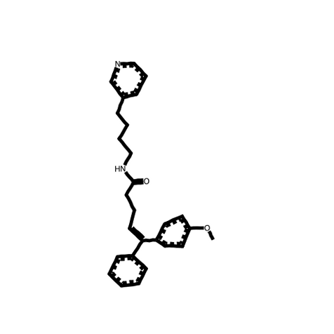 COc1ccc(/C(=C\CCC(=O)NCCCCc2cccnc2)c2ccccc2)cc1